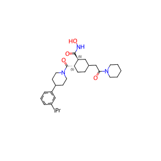 CC(C)c1cccc(C2CCN(C(=O)[C@H]3CCC(CC(=O)N4CCCCC4)C[C@@H]3C(=O)NO)CC2)c1